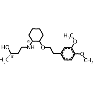 COc1ccc(CCOC2CCCC[C@@H]2NCC[C@H](C)O)cc1OC